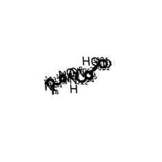 CN1C(=O)[C@H](NC(=O)n2cc(Cc3cccnc3F)cn2)CCc2ccc(C#CC3(O)CCOCC3)cc21